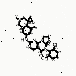 Cc1cc(Nc2ncc3c(n2)N2CCN=C2N(c2c(Cl)cccc2Cl)C3=O)cc2c1C1(CC1)CN(C)C2